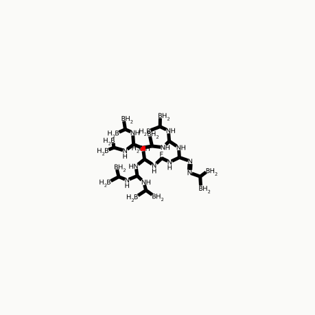 BC(B)N=NC(NC(F)NC(NC(NC(B)B)NC(B)B)NC(NC(B)B)NC(B)B)NC(NC(B)B)NC(B)B